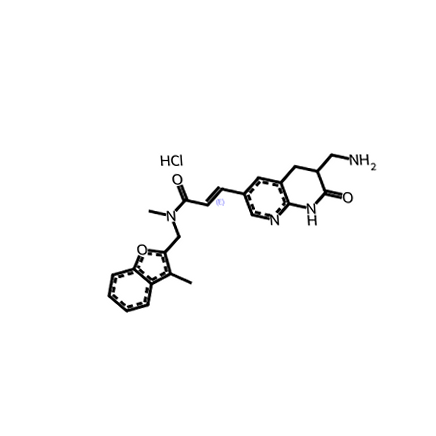 Cc1c(CN(C)C(=O)/C=C/c2cnc3c(c2)CC(CN)C(=O)N3)oc2ccccc12.Cl